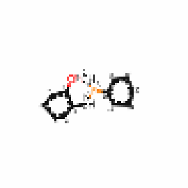 CP(Bc1ccccc1O)c1ccccc1